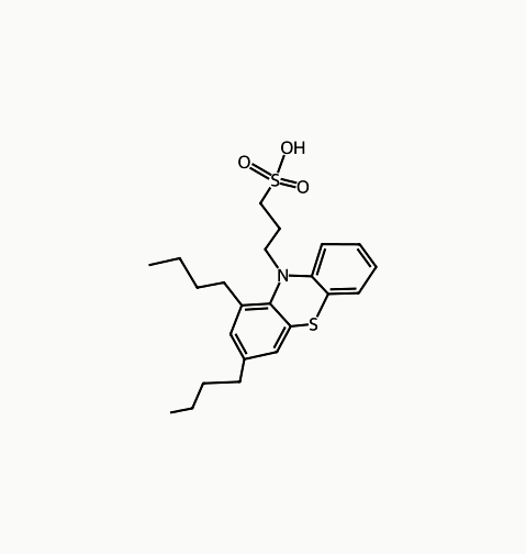 CCCCc1cc(CCCC)c2c(c1)Sc1ccccc1N2CCCS(=O)(=O)O